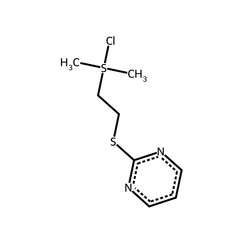 CS(C)(Cl)CCSc1ncccn1